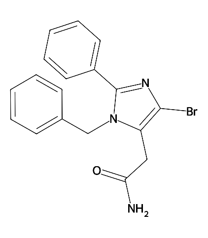 NC(=O)Cc1c(Br)nc(-c2ccccc2)n1Cc1ccccc1